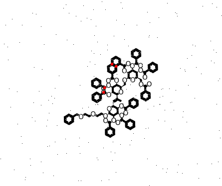 C/C(=C\[C@H]1O[C@@H](OCCOCCOCc2ccccc2)[C@H](OC(=O)c2ccccc2)[C@@H](OC(=O)c2ccccc2)[C@@H]1OC(=O)c1ccccc1)[C@@H]1O[C@H](CO[C@@H]2O[C@H](COC(=O)c3ccccc3)[C@@H](OC(=O)c3ccccc3)[C@H](OC(=O)c3ccccc3)[C@H]2OC(=O)c2ccccc2)[C@@H](OC(=O)c2ccccc2)[C@H](OC(=O)c2ccccc2)[C@H]1OC(=O)c1ccccc1